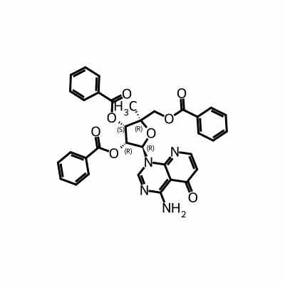 C[C@]1(COC(=O)c2ccccc2)O[C@@H](n2cnc(N)c3c(=O)ccnc2-3)[C@H](OC(=O)c2ccccc2)[C@@H]1OC(=O)c1ccccc1